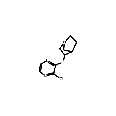 Clc1nccnc1OC1CN2CCC1C2